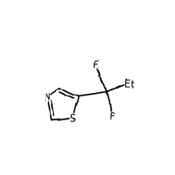 CCC(F)(F)c1cncs1